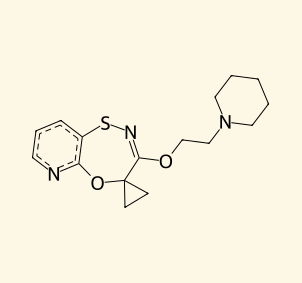 c1cnc2c(c1)SN=C(OCCN1CCCCC1)C1(CC1)O2